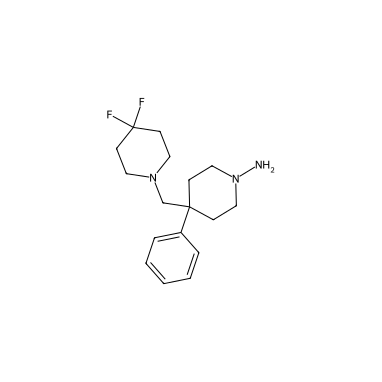 NN1CCC(CN2CCC(F)(F)CC2)(c2ccccc2)CC1